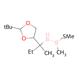 CCC(C)(BB(C)SC)C1COC(C(C)(C)C)O1